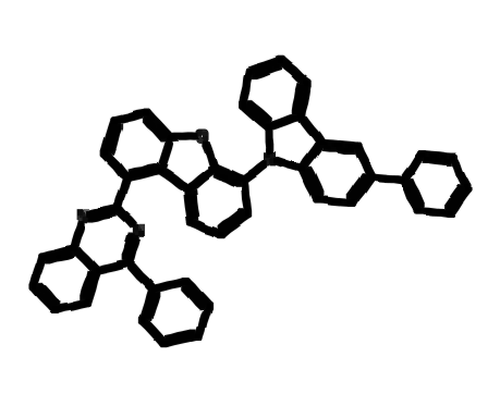 c1ccc(-c2ccc3c(c2)c2ccccc2n3-c2cccc3c2oc2cccc(-c4nc(-c5ccccc5)c5ccccc5n4)c23)cc1